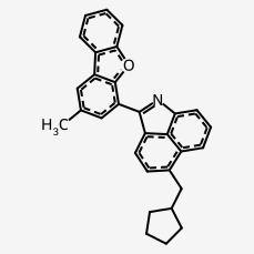 Cc1cc(C2=Nc3cccc4c(CC5CCCC5)ccc2c34)c2oc3ccccc3c2c1